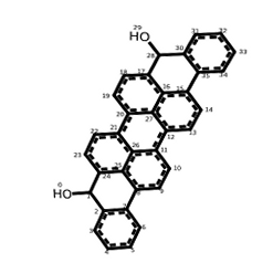 OC1c2ccccc2-c2ccc3c4ccc5c6c(ccc(c7ccc1c2c37)c64)C(O)c1ccccc1-5